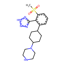 CS(=O)(=O)c1cccc(C2CCC(N3CCNCC3)CC2)c1-c1nn[nH]n1